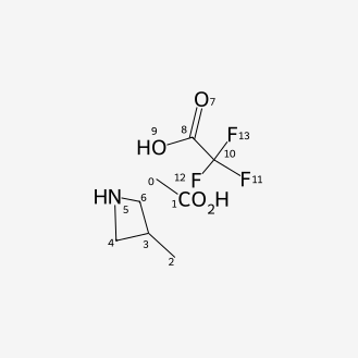 CC(=O)O.CC1CNC1.O=C(O)C(F)(F)F